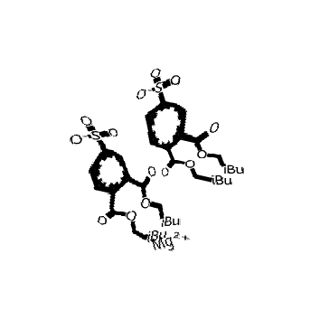 CCC(C)COC(=O)c1ccc(S(=O)(=O)[O-])cc1C(=O)OCC(C)CC.CCC(C)COC(=O)c1ccc(S(=O)(=O)[O-])cc1C(=O)OCC(C)CC.[Mg+2]